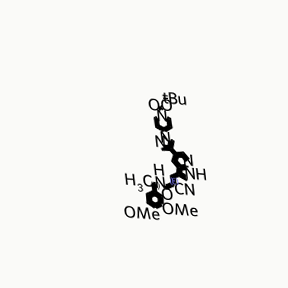 COc1ccc([C@@H](C)NC(=O)/C(C#N)=C/c2c[nH]c3ncc(-c4cnn(C5CCN(C(=O)OC(C)(C)C)CC5)c4)cc23)cc1OC